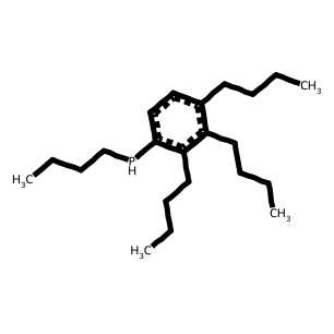 CCCCPc1ccc(CCCC)c(CCCC)c1CCCC